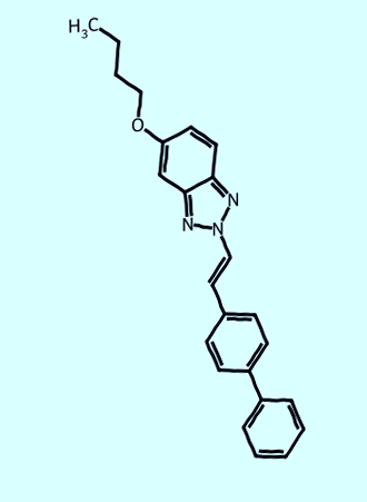 CCCCOc1ccc2nn(C=Cc3ccc(-c4ccccc4)cc3)nc2c1